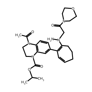 CC(=O)N1CCN(C(=O)OC(C)C)c2cc(C3=C(N(N)CC(=O)N4CCOCC4)CCCC=C3)ccc21